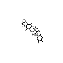 CC(=O)Oc1c(C)c(C)c2c(c1C)CCC(C)(C(=S)Nc1cc(C)c(C)cc1C)O2